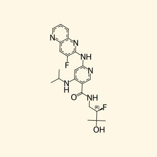 CC(C)Nc1cc(Nc2nc3cccnc3cc2F)ncc1C(=O)NC[C@@H](F)C(C)(C)O